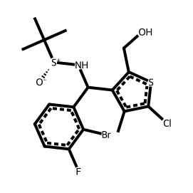 Cc1c(Cl)sc(CO)c1C(N[S@+]([O-])C(C)(C)C)c1cccc(F)c1Br